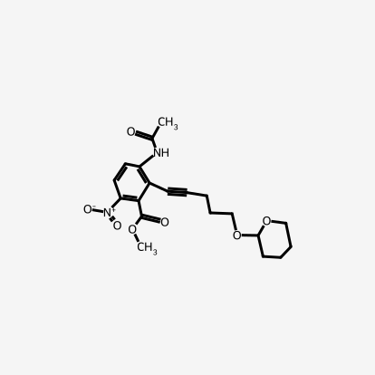 COC(=O)c1c([N+](=O)[O-])ccc(NC(C)=O)c1C#CCCCOC1CCCCO1